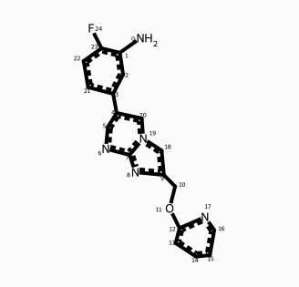 Nc1cc(-c2cnc3nc(COc4ccccn4)cn3c2)ccc1F